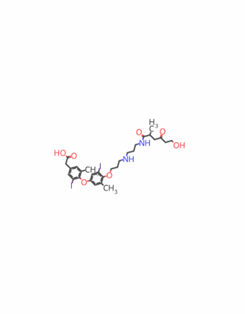 Cc1cc(Oc2c(C)cc(CC(=O)O)cc2I)cc(I)c1OCCCNCCCNC(=O)C(C)CC(=O)CCO